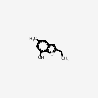 CCc1cc2cc(C)cc(O)c2o1